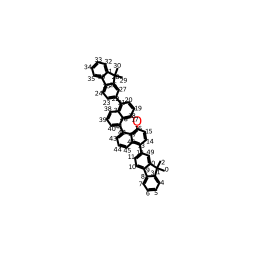 CC1(C)c2ccccc2-c2ccc(-c3ccc4oc5ccc(-c6ccc7c(c6)C(C)(C)c6ccccc6-7)c6cccc(c7cccc3c47)c56)cc21